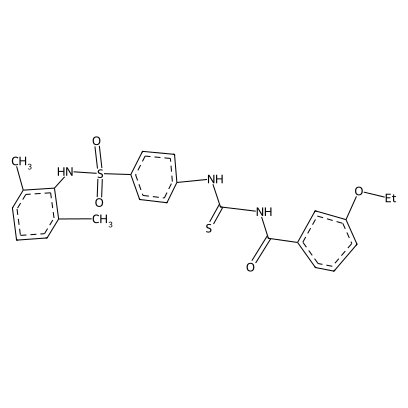 CCOc1cccc(C(=O)NC(=S)Nc2ccc(S(=O)(=O)Nc3c(C)cccc3C)cc2)c1